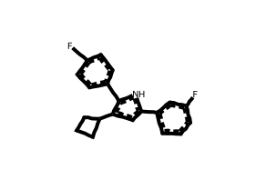 Fc1ccc(-c2[nH]c(-c3cccc(F)c3)cc2C2CCC2)cc1